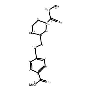 COC(=O)c1ccc(OCC2CN(C(=O)OC(C)(C)C)CCN2)cc1